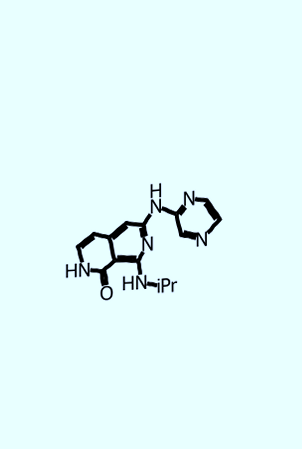 CC(C)Nc1nc(Nc2cnccn2)cc2cc[nH]c(=O)c12